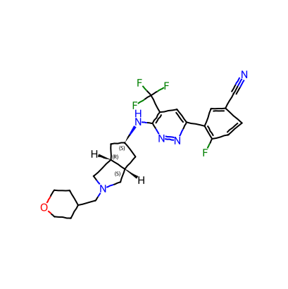 N#Cc1ccc(F)c(-c2cc(C(F)(F)F)c(N[C@H]3C[C@@H]4CN(CC5CCOCC5)C[C@@H]4C3)nn2)c1